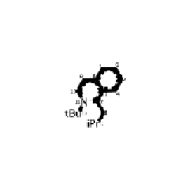 CC(C)Cc1c2ccccc2cc[n+]1C(C)(C)C